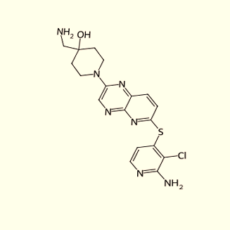 NCC1(O)CCN(c2cnc3nc(Sc4ccnc(N)c4Cl)ccc3n2)CC1